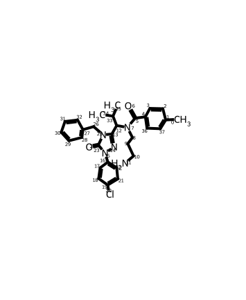 Cc1ccc(C(=O)N(CCCN)C(c2nn(-c3ccc(Cl)cc3)c(=O)n2Cc2ccccc2)C(C)C)cc1